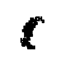 Cc1ccc(S(=O)(=O)n2ccc3nc(CNC(=O)OC(C)(C)C)cnc32)cc1